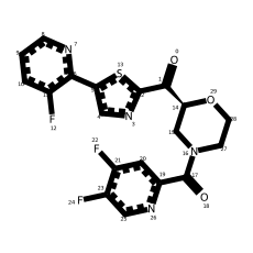 O=C(c1ncc(-c2ncccc2F)s1)[C@@H]1CN(C(=O)c2cc(F)c(F)cn2)CCO1